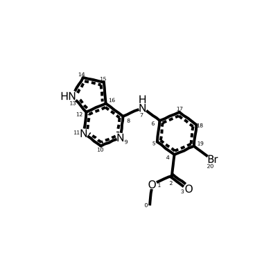 COC(=O)c1cc(Nc2ncnc3[nH]ccc23)ccc1Br